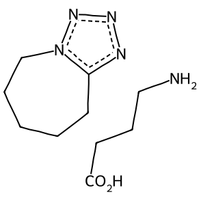 C1CCc2nnnn2CC1.NCCCC(=O)O